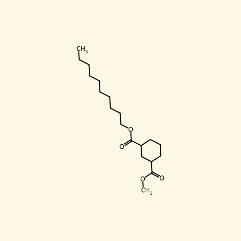 CCCCCCCCCCOC(=O)C1CCCC(C(=O)OC)C1